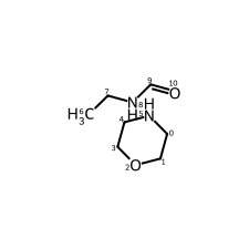 C1COCCN1.CCNC=O